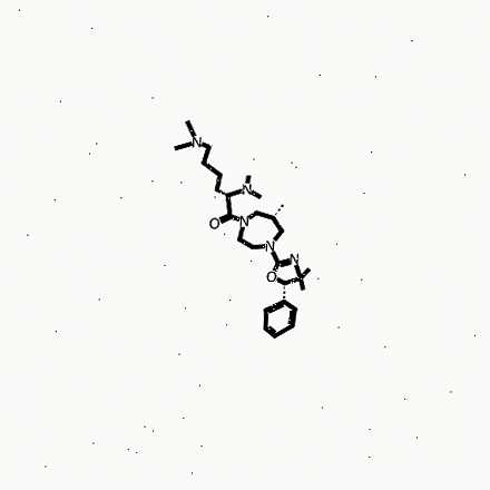 C[C@H]1CN(C(=O)[C@@H](CCCCN(C)C)N(C)C)CCN(C2=NC(C)(C)[C@H](c3ccccc3)O2)C1